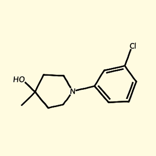 CC1(O)CCN(c2cccc(Cl)c2)CC1